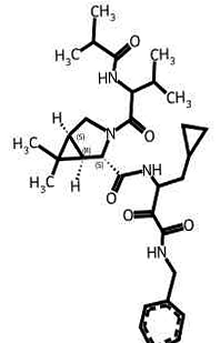 CC(C)C(=O)NC(C(=O)N1C[C@H]2[C@@H]([C@H]1C(=O)NC(CC1CC1)C(=O)C(=O)NCc1ccccc1)C2(C)C)C(C)C